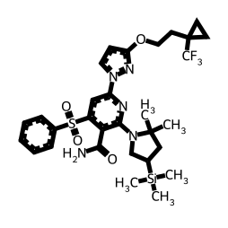 CC1(C)CC([Si](C)(C)C)CN1c1nc(-n2ccc(OCCC3(C(F)(F)F)CC3)n2)cc(S(=O)(=O)c2ccccc2)c1C(N)=O